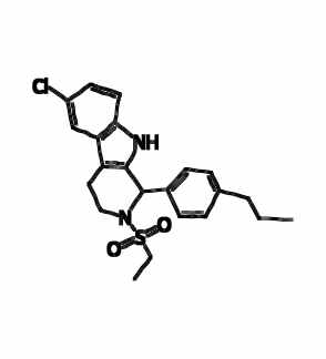 CCCc1ccc(C2c3[nH]c4ccc(Cl)cc4c3CCN2S(=O)(=O)CC)cc1